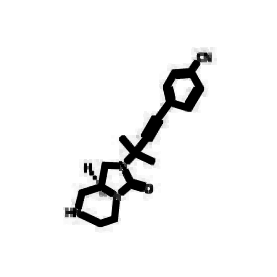 CC(C)(C#Cc1ccc(C#N)cc1)N1C[C@@H]2CNCCN2C1=O